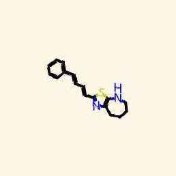 C(/C=C/c1nc2c(s1)NCCCC2)=C\c1ccccc1